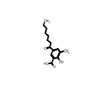 CCCCCCCC(=O)c1cc(C)c(O)c(C(=O)O)c1